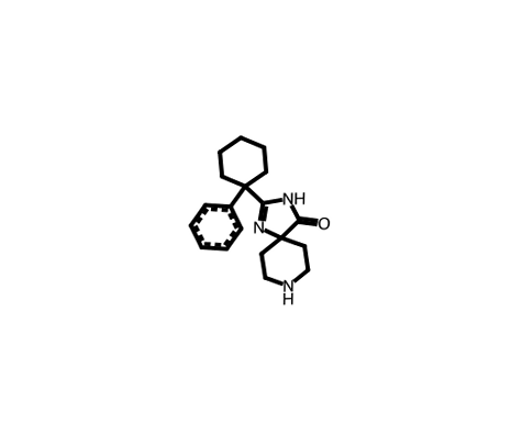 O=C1NC(C2(c3ccccc3)CCCCC2)=NC12CCNCC2